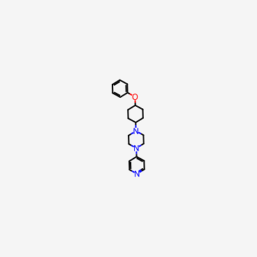 c1ccc(OC2CCC(N3CCN(c4ccncc4)CC3)CC2)cc1